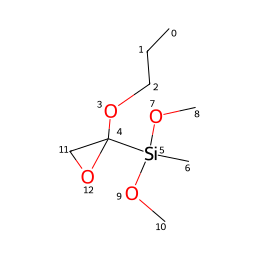 CCCOC1([Si](C)(OC)OC)CO1